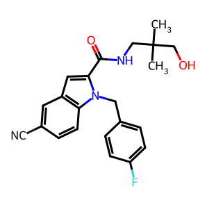 CC(C)(CO)CNC(=O)c1cc2cc(C#N)ccc2n1Cc1ccc(F)cc1